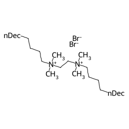 CCCCCCCCCCCCCC[N+](C)(C)CC[N+](C)(C)CCCCCCCCCCCCCC.[Br-].[Br-]